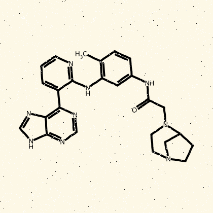 Cc1ccc(NC(=O)CN2CCN3CCC2C3)cc1Nc1ncccc1-c1ncnc2[nH]cnc12